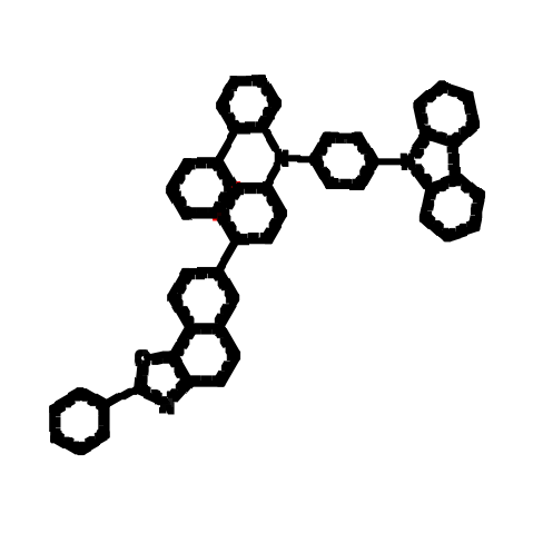 c1ccc(-c2nc3ccc4cc(-c5ccc(N(c6ccc(-n7c8ccccc8c8ccccc87)cc6)c6ccccc6-c6ccccc6)cc5)ccc4c3o2)cc1